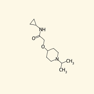 CC(C)N1CCC(OCC(=O)NC2CC2)CC1